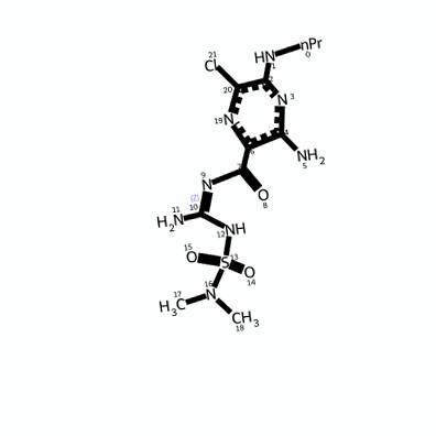 CCCNc1nc(N)c(C(=O)/N=C(/N)NS(=O)(=O)N(C)C)nc1Cl